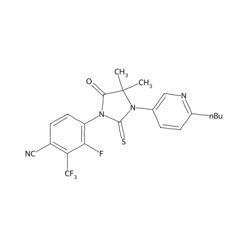 CCCCc1ccc(N2C(=S)N(c3ccc(C#N)c(C(F)(F)F)c3F)C(=O)C2(C)C)cn1